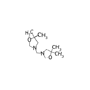 CC1(C)CN(CN2COC(C)(C)C2)CO1